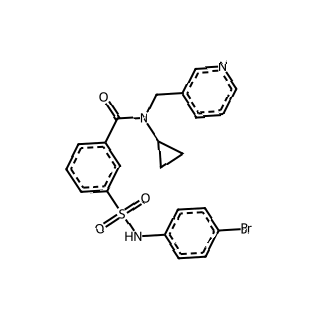 O=C(c1cccc(S(=O)(=O)Nc2ccc(Br)cc2)c1)N(Cc1cccnc1)C1CC1